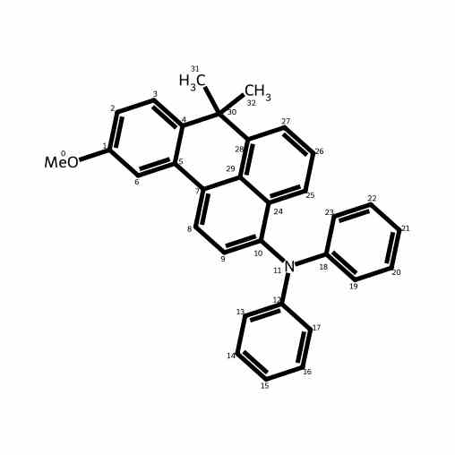 COc1ccc2c(c1)-c1ccc(N(c3ccccc3)c3ccccc3)c3cccc(c13)C2(C)C